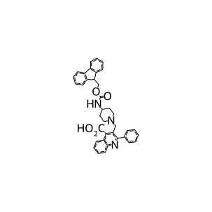 O=C(NC1CCN(Cc2c(-c3ccccc3)nc3ccccc3c2C(=O)O)CC1)OCC1c2ccccc2-c2ccccc21